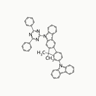 CC1(C)c2cc(-n3c4ccccc4c4ccccc43)ccc2-c2cc3c4ccccc4n(-c4nc(-c5ccccc5)nc(-c5ccccc5)n4)c3cc21